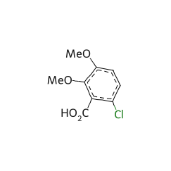 COc1ccc(Cl)c(C(=O)O)c1OC